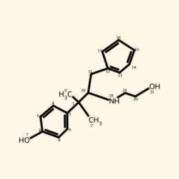 CC(C)(c1ccc(O)cc1)C(Cc1ccccc1)NCCO